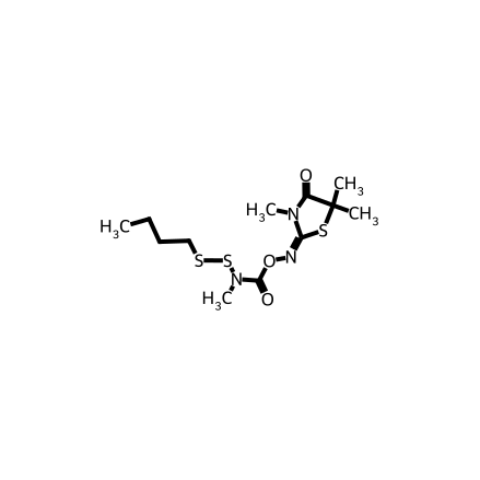 CCCCSSN(C)C(=O)ON=C1SC(C)(C)C(=O)N1C